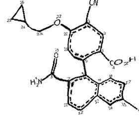 N#Cc1cc(C(=O)O)c(-c2c(C(N)=O)ccc3cc(Cl)ccc23)cc1OCC1CC1